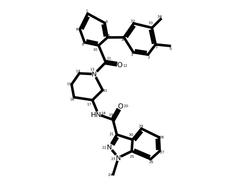 Cc1ccc(-c2ccccc2C(=O)N2CCCC(NC(=O)c3nn(C)c4ccccc34)C2)cc1C